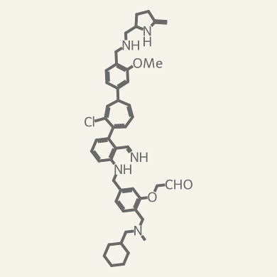 C=C1CCC(CNCc2ccc(C3C=CC=C(c4cccc(NCc5ccc(CN(C)CC6CCCCC6)c(OCC=O)c5)c4C=N)C(Cl)=C3)cc2OC)N1